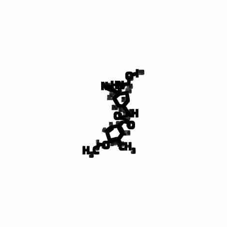 CCOc1ccc(S(=O)(=O)NC2CCC(C#N)(NCOI)CC2)cc1C